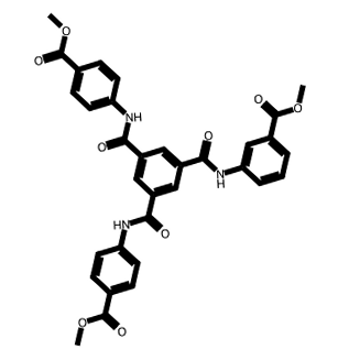 COC(=O)c1ccc(NC(=O)c2cc(C(=O)Nc3ccc(C(=O)OC)cc3)cc(C(=O)Nc3cccc(C(=O)OC)c3)c2)cc1